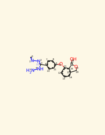 C=N/N=C(\NN)c1ccc(Oc2cccc3c2B(O)OC3)cc1